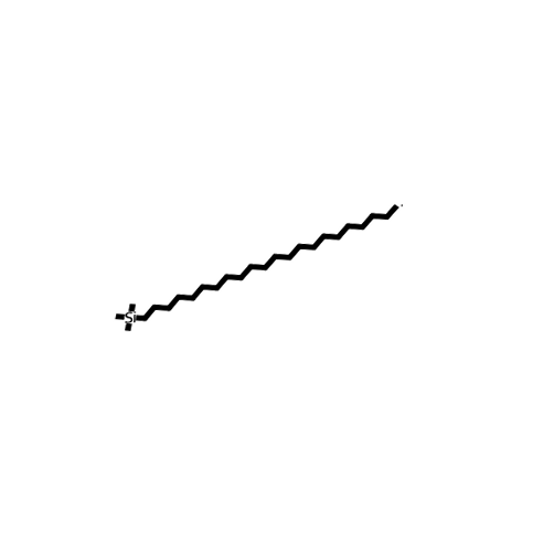 [CH2]CCCCCCCCCCCCCCCCCCCCC[Si](C)(C)C